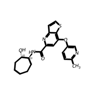 Cc1ccc(Oc2cc(C(=O)N[C@H]3CCCCC[C@@H]3O)nc3ccsc23)cn1